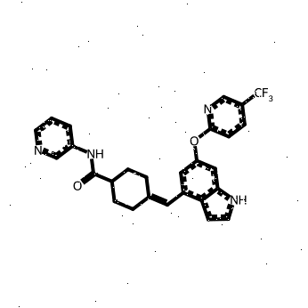 O=C(Nc1cccnc1)C1CCC(=Cc2cc(Oc3ccc(C(F)(F)F)cn3)cc3[nH]ccc23)CC1